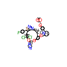 Cc1c(Cl)c2c(Cl)c(C)c1-c1c(-c3ccc(F)cc3)sc3ncnc(c13)C1CC1[C@@H](C(=O)O)Cc1cc(ccc1OCC1=C/C=C\CC/C(c3ccc(OC[C@H]4COC(C)(C)O4)cc3)=N\1)OC[C@@H](CN1CCN(C)CC1)O2